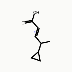 CC(/C=C/C(=O)O)C1CC1